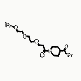 CC(C)OCCOCCOCCC(=O)N1CCC(C(=O)C(C)C)CC1